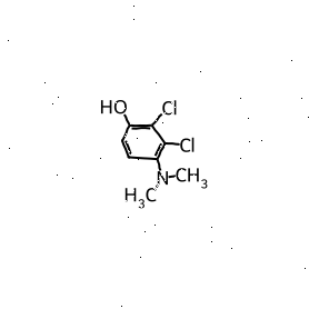 CN(C)c1ccc(O)c(Cl)c1Cl